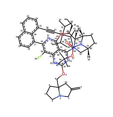 C=C1CN2CCCC2(COc2nc3c4c(nc(-c5cccc6cccc(C#C[Si](C(C)C)(C(C)C)C(C)C)c56)c(F)c4n2)O[C@@H](CC)[C@@H]2[C@@H]4CC[C@H](CN32)N4C(=O)OC(C)(C)C)C1